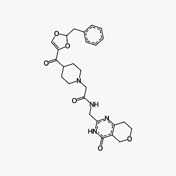 O=C(CN1CCC(C(=O)C2=COC(Cc3ccccc3)O2)CC1)NCc1nc2c(c(=O)[nH]1)COCC2